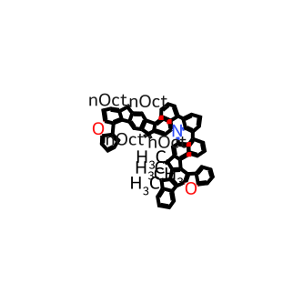 CCCCCCCCC1(CCCCCCCC)c2cc(N(c3ccc4c(c3)C(C)(C)c3c5c(c6oc7ccccc7c6c3-4)-c3ccccc3C5(C)C)c3c(-c4ccccc4)cccc3-c3ccccc3)ccc2-c2cc3c(cc21)-c1c(ccc2oc4ccccc4c12)C3(CCCCCCCC)CCCCCCCC